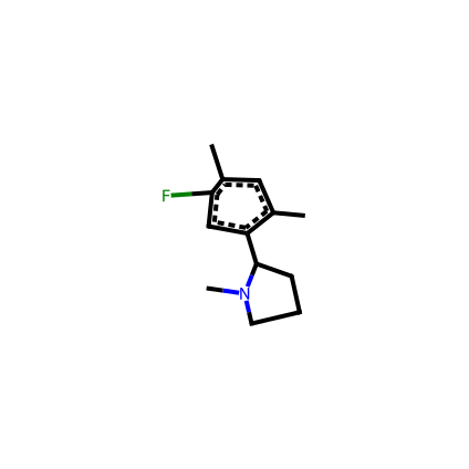 Cc1cc(C)c(C2CCCN2C)cc1F